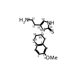 COc1ccc2c(c1)C[C@@H](n1c(CCN)c[nH]c1=S)CS2